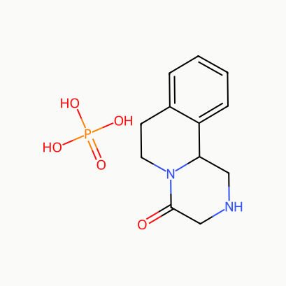 O=C1CNCC2c3ccccc3CCN12.O=P(O)(O)O